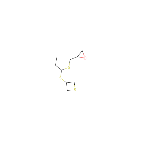 CCC(SCC1CO1)SC1CSC1